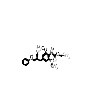 CCOC(=O)Nc1c(OC)cc(CC(C#N)=CNc2ccccc2)cc1OC